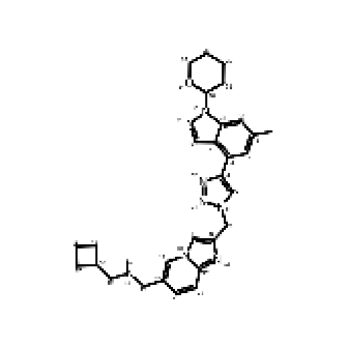 Cc1cc(-c2cn(Cc3cn4cc(CNCC5CCC5)ccc4n3)nn2)c2cnn(C3CCCCO3)c2c1